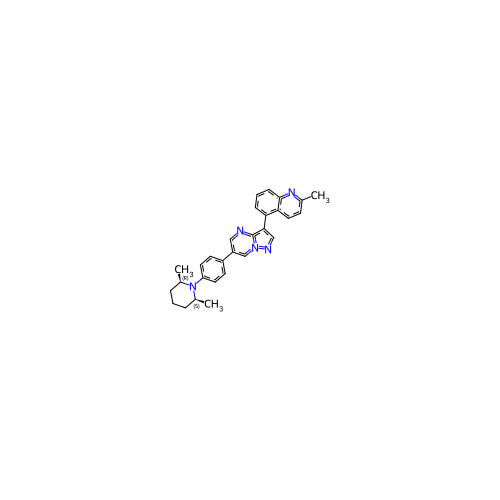 Cc1ccc2c(-c3cnn4cc(-c5ccc(N6[C@H](C)CCC[C@@H]6C)cc5)cnc34)cccc2n1